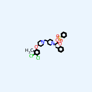 Cc1c(OC2CCN(CC3CCN([C@@H](Cc4ccccc4)C(=O)OS(=O)(=O)c4ccccc4)CC3)CC2)ccc(Cl)c1Cl